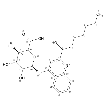 CCCCCCC(O)c1cc(O[C@@H]2OC(C(=O)O)[C@H](O)[C@@H](O)C2O)c2ccccc2n1